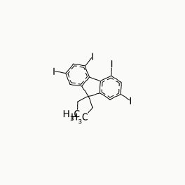 CCC1(CC)c2cc(I)cc(I)c2-c2c(I)cc(I)cc21